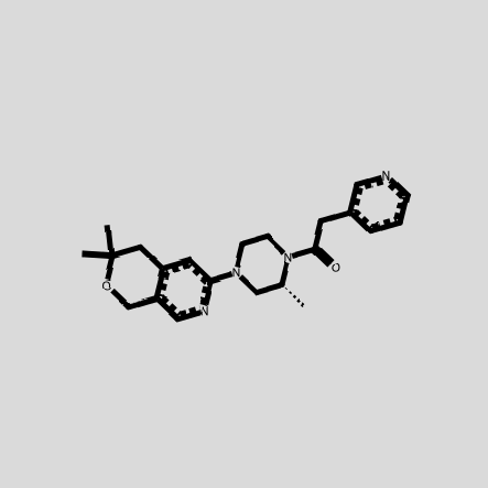 C[C@@H]1CN(c2cc3c(cn2)COC(C)(C)C3)CCN1C(=O)Cc1cccnc1